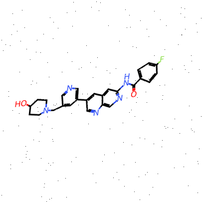 O=C(Nc1cc2cc(-c3cncc(CN4CCC(O)CC4)c3)cnc2cn1)c1ccc(F)cc1